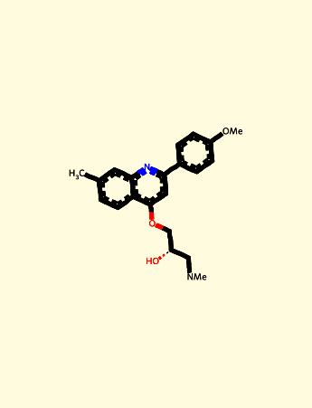 CNC[C@H](O)COc1cc(-c2ccc(OC)cc2)nc2cc(C)ccc12